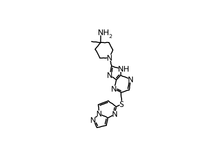 CC1(N)CCN(c2nc3nc(Sc4ccn5nccc5n4)cnc3[nH]2)CC1